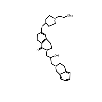 COCCN1CCC(Oc2ccc3c(c2)CCN(CC(O)CN2CCc4ccccc4C2)C3=O)CC1